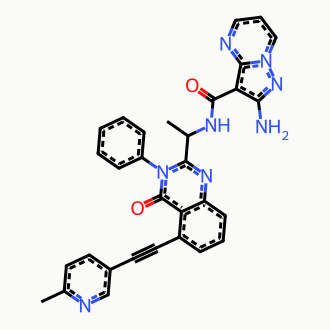 Cc1ccc(C#Cc2cccc3nc(C(C)NC(=O)c4c(N)nn5cccnc45)n(-c4ccccc4)c(=O)c23)cn1